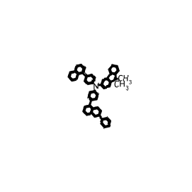 CC1(C)c2ccccc2-c2cc(N(c3ccc(-c4cccc5ccccc45)cc3)c3ccc(-c4cccc5cc(-c6ccccc6)ccc45)cc3)ccc21